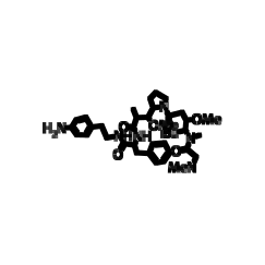 CCC(C)C(C(CC(=O)N1CCCC1C(OC)C(C)C(=O)NC(Cc1ccccc1)C(=O)NCCc1ccc(N)cc1)OC)N(C)C(=O)CNC